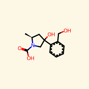 C[C@H]1CC(O)(c2ccccc2CO)CN1C(=O)O